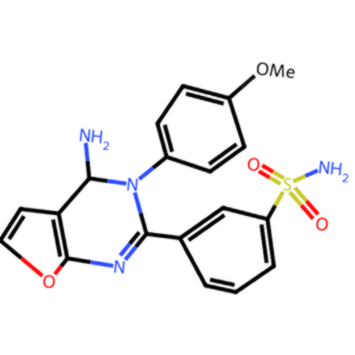 COc1ccc(N2C(c3cccc(S(N)(=O)=O)c3)=Nc3occc3C2N)cc1